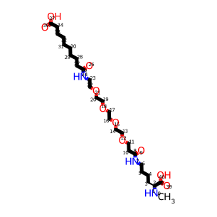 CN[C@@H](CCCCNC(=O)CCOCCOCCOCCOCCNC(=O)CCCCCCCCC(=O)O)C(=O)O